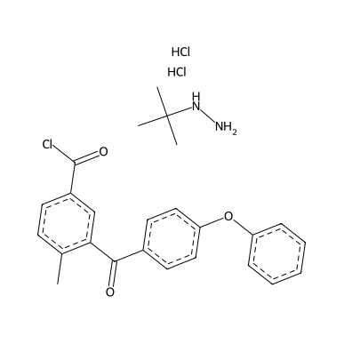 CC(C)(C)NN.Cc1ccc(C(=O)Cl)cc1C(=O)c1ccc(Oc2ccccc2)cc1.Cl.Cl